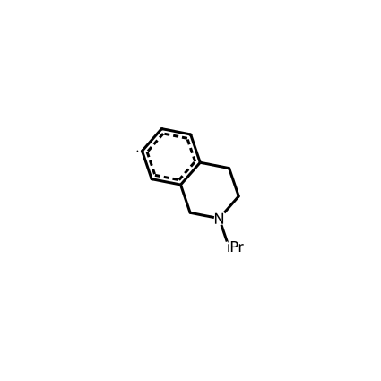 CC(C)N1CCc2cc[c]cc2C1